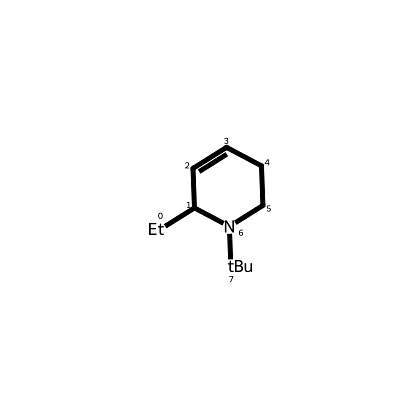 CCC1C=CCCN1C(C)(C)C